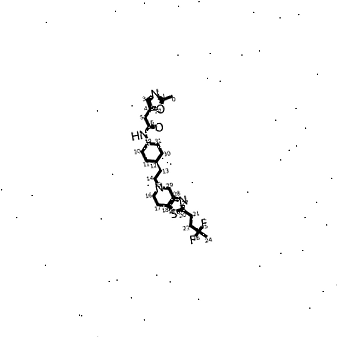 Cc1ncc(CC(=O)N[C@H]2CC[C@H](CCN3CCc4sc(CCC(C)(F)F)nc4C3)CC2)o1